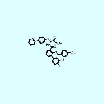 COC(=O)[C@H](Cc1ccc(-c2ccccc2)cc1)NC(=O)c1cccc(-c2ccc(F)c(Cl)c2)c1OCc1ccc(C(C)(C)C)cc1